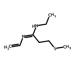 C=C/N=C(\CCSC)NCC